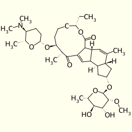 CC[C@H]1CCC[C@H](O[C@H]2CC[C@H](N(C)C)[C@@H](C)O2)[C@@H](C)C(=O)C2=CC3[C@@H](C=C(C)[C@@H]4C[C@H](O[C@@H]5O[C@@H](C)[C@H](O)[C@@H](O)[C@H]5OC)C[C@@H]34)C2C(=O)O1